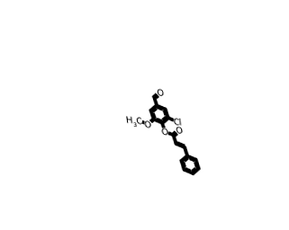 COc1cc(C=O)cc(Cl)c1OC(=O)C=Cc1ccccc1